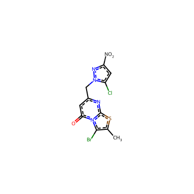 Cc1sc2nc(Cn3nc([N+](=O)[O-])cc3Cl)cc(=O)n2c1Br